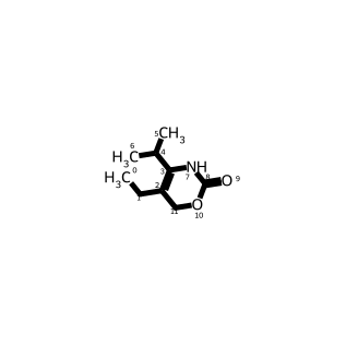 CCC1=C(C(C)C)NC(=O)OC1